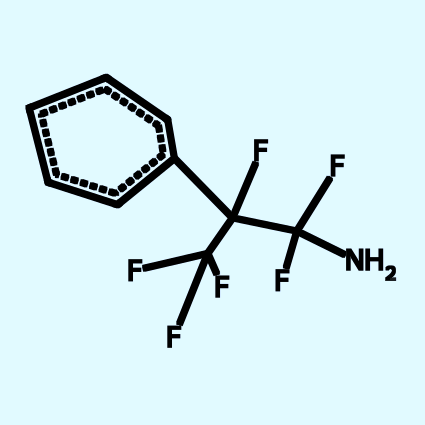 NC(F)(F)C(F)(c1ccccc1)C(F)(F)F